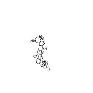 CS(=O)(=O)Nc1ccccc1Nc1nc(Nc2ccc3c(c2)CNCCS3(=O)=O)ncc1Cl